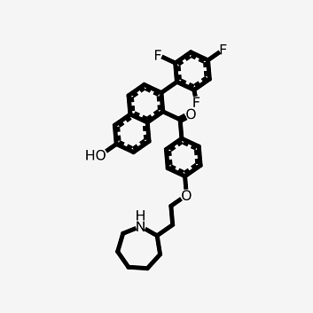 O=C(c1ccc(OCCC2CCCCCN2)cc1)c1c(-c2c(F)cc(F)cc2F)ccc2cc(O)ccc12